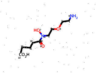 NCCOCCN(O)C(=O)CCCC(=O)O